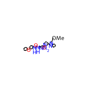 COCCCn1c([C@@H]2CCCN(C(=O)C[C@H](N)CNC(=O)Nc3cccc(Oc4ccccc4)c3)C2)nc2ccccc21